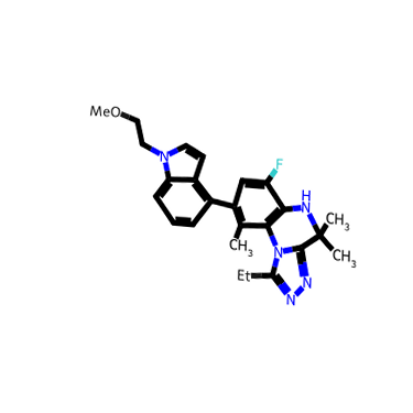 CCc1nnc2n1-c1c(C)c(-c3cccc4c3ccn4CCOC)cc(F)c1NC2(C)C